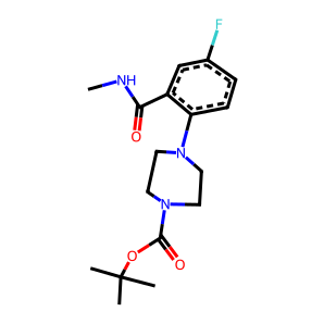 CNC(=O)c1cc(F)ccc1N1CCN(C(=O)OC(C)(C)C)CC1